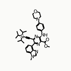 COC(=O)c1nc(-c2cccc3c2ncn3C)c(C#C[Si](C(C)C)(C(C)C)C(C)C)nc1Nc1ccc(N2CCOCC2)cc1